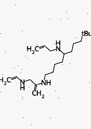 C=CCNC(CCCCNC(=C)CNC=C)CCCC(C)(C)C